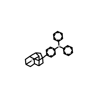 c1ccc([S+](c2ccccc2)c2ccc(C34CC5C6CC7CC5C(C3)C(C7)C6C4)cc2)cc1